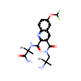 CC(C)C(C)(N)CNC(=O)c1cc2cc(OC(F)F)ccc2nc1C(=O)NC(C)(C(N)=O)C(C)C